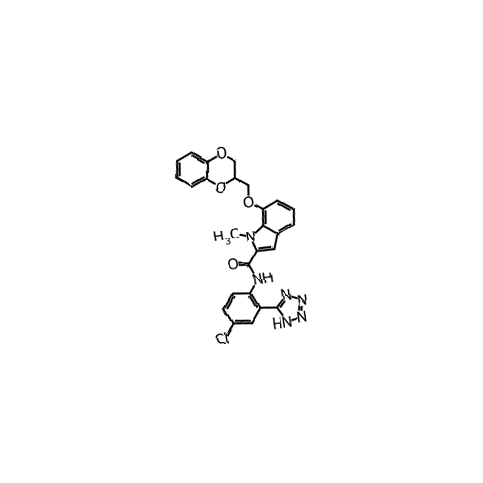 Cn1c(C(=O)Nc2ccc(Cl)cc2-c2nnn[nH]2)cc2cccc(OCC3COc4ccccc4O3)c21